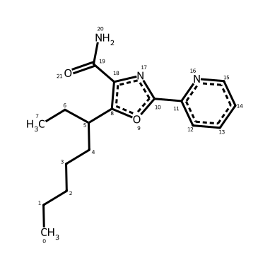 CCCCCC(CC)c1oc(-c2ccccn2)nc1C(N)=O